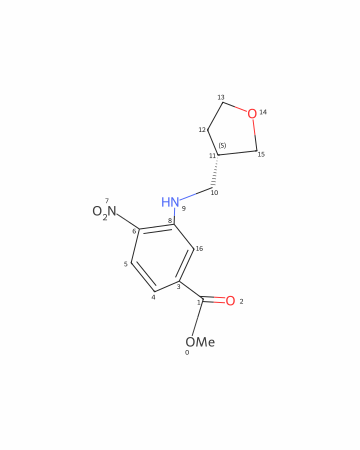 COC(=O)c1ccc([N+](=O)[O-])c(NC[C@@H]2CCOC2)c1